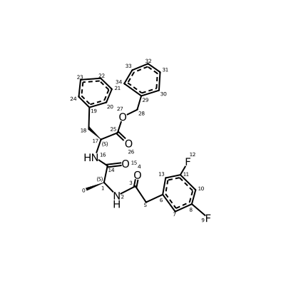 C[C@H](NC(=O)Cc1cc(F)cc(F)c1)C(=O)N[C@@H](Cc1ccccc1)C(=O)OCc1ccccc1